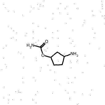 NC(=O)OC1CCC(N)C1